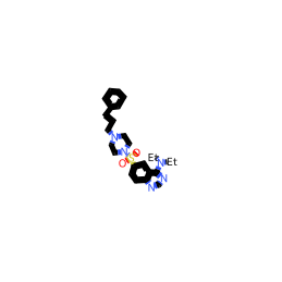 CCN(CC)c1ncnc2ccc(S(=O)(=O)N3CCN(C/C=C/c4ccccc4)CC3)cc12